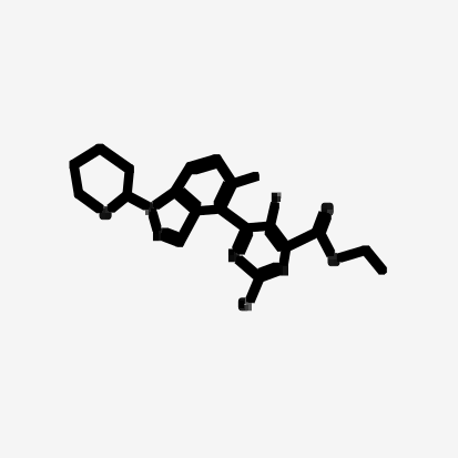 CCOC(=O)c1nc(Cl)nc(-c2c(C)ccc3c2cnn3C2CCCCO2)c1F